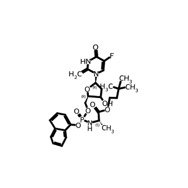 C=C1NC(=O)C(F)=CN1[C@H]1CC(O)[C@@H](COP(=O)(N[C@@H](C)C(=O)OCCC(C)(C)C)Oc2cccc3ccccc23)O1